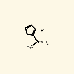 [CH3][Zr+]([CH3])[C]1=CC=CC1.[H-]